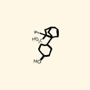 CC(C)C1(C(=O)O)CC2C=CC1(C1CCC(O)CC1)C2